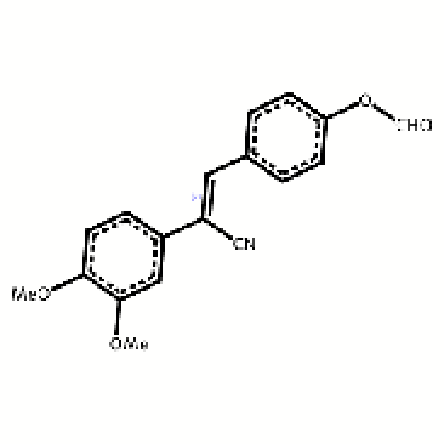 COc1ccc(/C(C#N)=C/c2ccc(OC=O)cc2)cc1OC